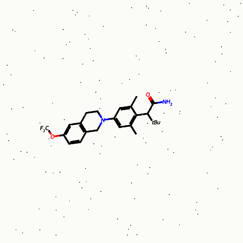 Cc1cc(N2CCc3cc(OC(F)(F)F)ccc3C2)cc(C)c1C(C(N)=O)C(C)(C)C